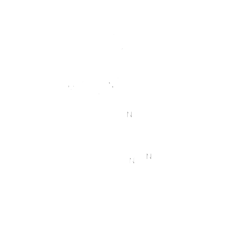 c1ccc(-c2cccc(-n3c4ccc5oc6ccccc6c5c4c4ccc5c(c6ccccc6n5-c5ccc(-c6nc(-c7ccccc7)c7ccccc7n6)cc5)c43)c2)cc1